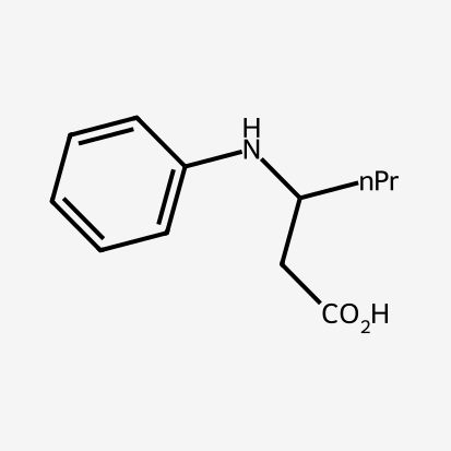 CCCC(CC(=O)O)Nc1ccccc1